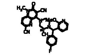 COc1ncccc1C(c1ccc(F)cc1)N1CCN(c2c(C#N)c(=O)n(C)c3ccc(C#N)nc23)C[C@H]1C